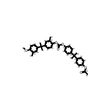 COc1ccc(C(C)(C)c2ccc(OC(=O)Oc3ccc(C(C)(C)c4ccc(OC(C)=O)cc4)cc3)c(C)c2)cc1C